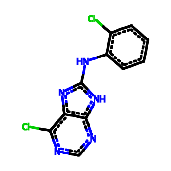 Clc1ccccc1Nc1nc2c(Cl)ncnc2[nH]1